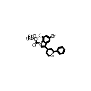 CCOC(=O)c1cc(Br)cc2c(C3CCSC(c4ccccc4)C3)cn(C(=O)OC(C)(C)C)c12